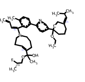 C=C/C=C(\c1cc(-c2ccc(C3(OCC)CCC/C(=C/C(C)C)CC3)cn2)ccc1C)N1CC/C=C(\C(C)(O)OC[C@H](C)F)CCC1